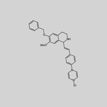 CCN1C=CN(c2ccc(C=CC3NCCc4cc(OCc5ccccc5)c(OC)cc43)cc2)C=C1